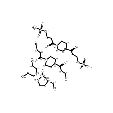 CS(=O)(=O)OCCC(=O)N1CCN(C(=O)CCOS(C)(=O)=O)CC1.O=C(CCBr)N1CCN(C(=O)CCBr)CC1.O=[P@@]1(N(CCCl)CCCl)N[C@@H](OO)CCO1